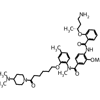 COc1cc(C(=O)N(C)c2ccc(C)cc2OCCCCCC(=O)N2CCC(N(C)C)CC2)ccc1NC(=O)c1ccccc1O[C@H](C)CCN